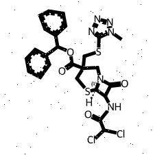 Cn1nnnc1SCC1(C(=O)OC(c2ccccc2)c2ccccc2)CS[C@@H]2C(NC(=O)C(Cl)Cl)C(=O)N2C1